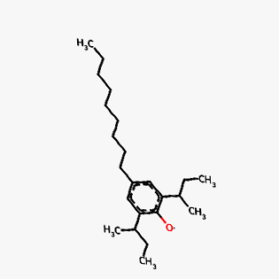 CCCCCCCCCc1cc(C(C)CC)c([O])c(C(C)CC)c1